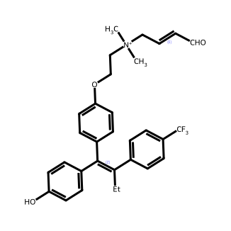 CC/C(=C(\c1ccc(O)cc1)c1ccc(OCC[N+](C)(C)C/C=C/C=O)cc1)c1ccc(C(F)(F)F)cc1